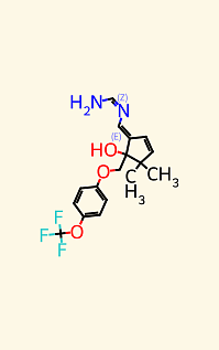 CC1(C)C=C/C(=C\N=C/N)C1(O)COc1ccc(OC(F)(F)F)cc1